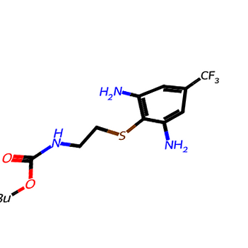 CC(C)(C)OC(=O)NCCSc1c(N)cc(C(F)(F)F)cc1N